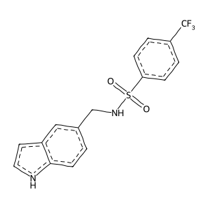 O=S(=O)(NCc1ccc2[nH]ccc2c1)c1ccc(C(F)(F)F)cc1